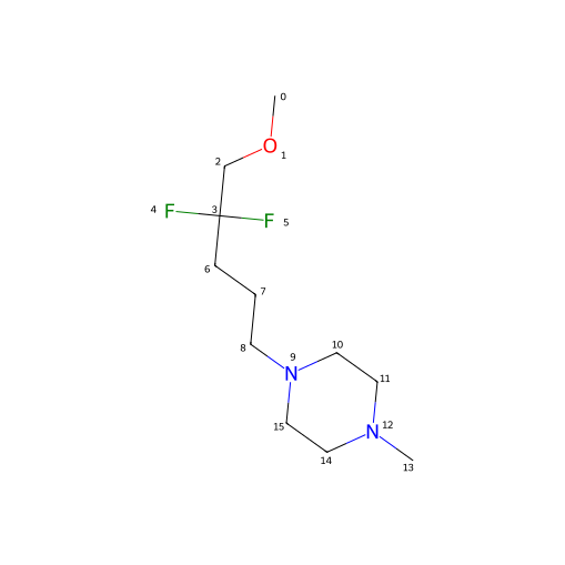 COCC(F)(F)CCCN1CCN(C)CC1